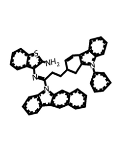 Nc1sc2ccccc2c1/N=C(\CCC1C=Cc2c(n(-c3ccccc3)c3ccccc23)C1)n1c2ccccc2c2cc3ccccc3cc21